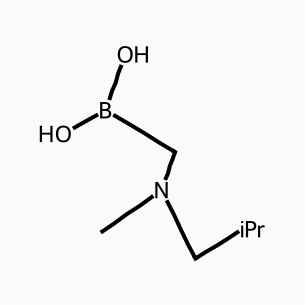 CC(C)CN(C)CB(O)O